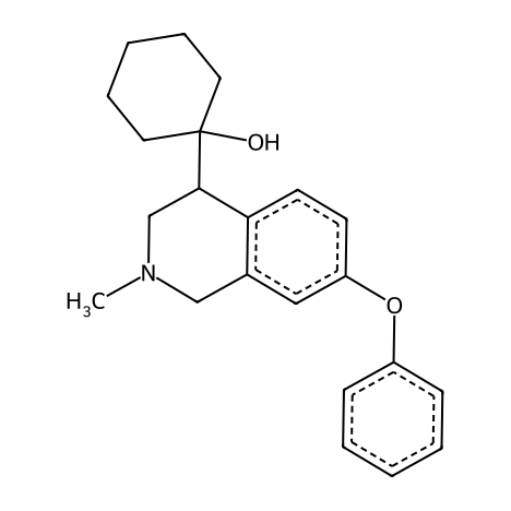 CN1Cc2cc(Oc3ccccc3)ccc2C(C2(O)CCCCC2)C1